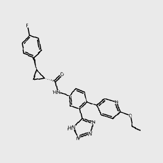 CCOc1ccc(-c2ccc(NC(=O)[C@@H]3C[C@H]3c3ccc(F)cc3)cc2-c2nnn[nH]2)cn1